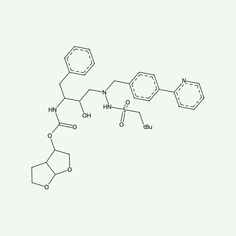 CC(C)(C)CS(=O)(=O)NN(Cc1ccc(-c2ccccn2)cc1)CC(O)C(Cc1ccccc1)NC(=O)OC1COC2OCCC12